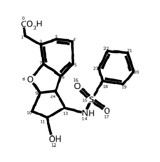 O=C(O)Cc1cccc2c1OC1CC(O)C(NS(=O)(=O)c3ccccc3)C21